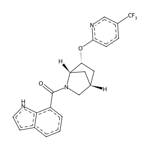 O=C(c1cccc2cc[nH]c12)N1C[C@H]2C[C@@H](Oc3ccc(C(F)(F)F)cn3)[C@@H]1C2